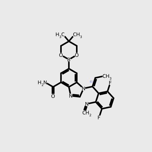 C=Nc1c(F)ccc(F)c1/C(=C\C)n1cnc2c(C(N)=O)cc(B3OCC(C)(C)CO3)cc21